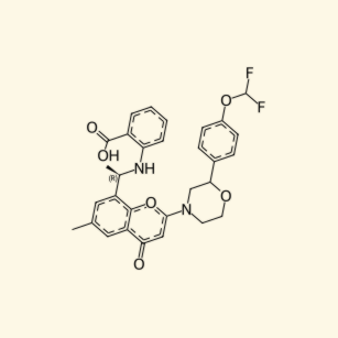 Cc1cc([C@@H](C)Nc2ccccc2C(=O)O)c2oc(N3CCOC(c4ccc(OC(F)F)cc4)C3)cc(=O)c2c1